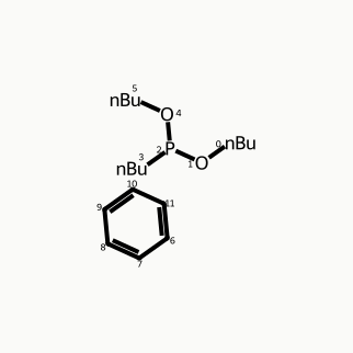 CCCCOP(CCCC)OCCCC.c1ccccc1